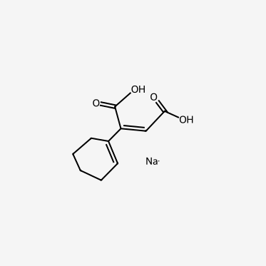 O=C(O)C=C(C(=O)O)C1=CCCCC1.[Na]